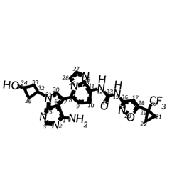 Nc1ncnc2c1c(-c1ccc(NC(=O)Nc3cc(C4(C(F)(F)F)CC4)on3)c3nccn13)cn2C1CC(O)C1